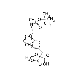 COC.COC(Cc1ccc(OCCN(C)C(=O)OC(C)(C)C)cc1)(C(=O)O)C(=O)O